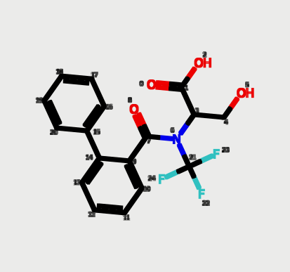 O=C(O)C(CO)N(C(=O)c1ccccc1-c1ccccc1)C(F)(F)F